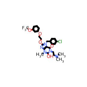 CN(C)CCN1C(=O)c2c(nc(OCCOc3cccc(OC(F)(F)F)c3)n2Cc2ccc(Cl)cc2)N(C)C1O